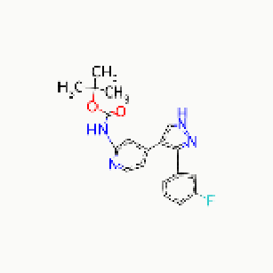 CC(C)(C)OC(=O)Nc1cc(-c2c[nH]nc2-c2cccc(F)c2)ccn1